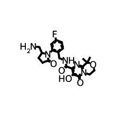 CC1(C)OCCn2c1nc(C(=O)NCc1ccc(F)cc1N1C(=O)CCC1CN)c(O)c2=O